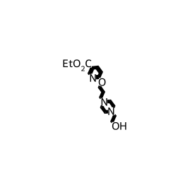 CCOC(=O)c1ccc(OCCCN2CCN(CCO)CC2)nc1